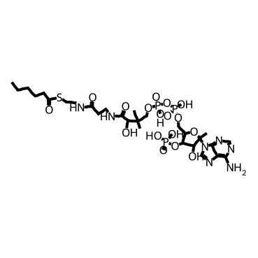 CCCCCC(=O)SCCNC(=O)CCNC(=O)C(O)C(C)(C)COP(=O)(O)OP(=O)(O)OCC1OC(C)(n2cnc3c(N)ncnc32)C(O)C1OP(=O)(O)O